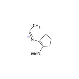 C/C=N\C1=C(NC)CCC1